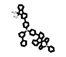 CC1(C)c2ccccc2-c2ccc(-c3ccc(N(c4ccc(-c5cccc6c5-c5ccccc5C65c6ccccc6N(c6ccccc6)c6ccccc65)cc4)c4cccc(-c5ccccc5)c4)cc3)cc21